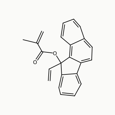 C=CC1(OC(=O)C(=C)C)c2ccccc2-c2ccc3ccccc3c21